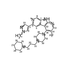 Cn1cc(-c2cc3c(cn2)[nH]c2ncc(F)c(N4CCN(CCCN5CCCCC5)CC4)c23)cn1